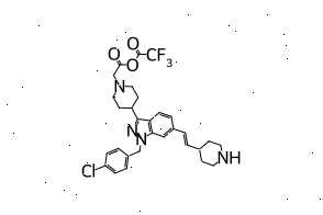 O=C(CN1CCC(c2nn(Cc3ccc(Cl)cc3)c3cc(C=CC4CCNCC4)ccc23)CC1)OC(=O)C(F)(F)F